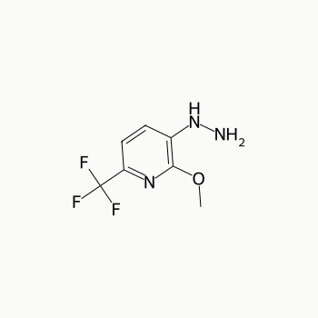 COc1nc(C(F)(F)F)ccc1NN